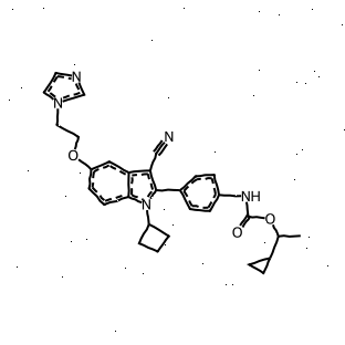 CC(OC(=O)Nc1ccc(-c2c(C#N)c3cc(OCCn4ccnc4)ccc3n2C2CCC2)cc1)C1CC1